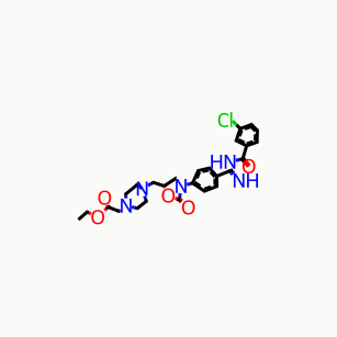 CCOC(=O)CN1CCN(CC2CN(c3ccc(C(=N)NC(=O)c4cccc(Cl)c4)cc3)C(=O)O2)CC1